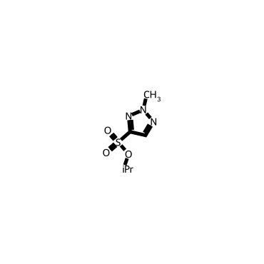 CC(C)OS(=O)(=O)c1cnn(C)n1